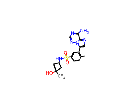 Cc1ccc(S(=O)(=O)NC2CC(O)(C(F)(F)F)C2)cc1-c1cnc2c(N)ncnn12